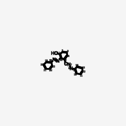 Oc1cccc(ON=Nc2ccccc2)c1N=Nc1ccccc1